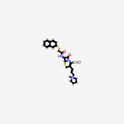 C[N+]1(CC=CC2=C(C(=O)[O-])N3C(=O)C(NC(=O)CSc4ccc5ccccc5c4)C3SC2)CCCC1